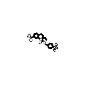 COC(=O)c1ccc2c(c1)C[C@]1(CC2)CCN(Cc2ccc(S(C)(=O)=O)cc2)C1=O